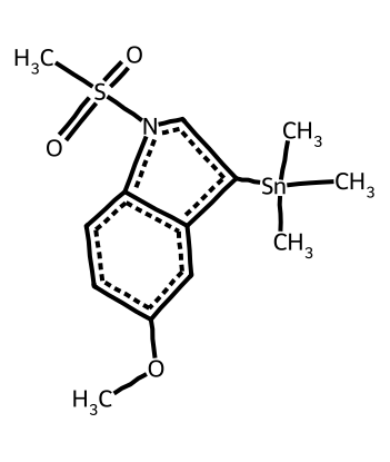 COc1ccc2c(c1)[c]([Sn]([CH3])([CH3])[CH3])cn2S(C)(=O)=O